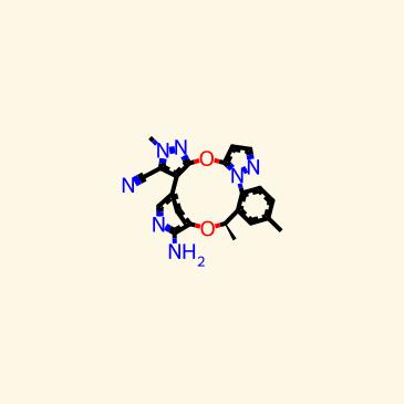 Cc1ccc2c(c1)[C@@H](C)Oc1cc(cnc1N)-c1c(nn(C)c1C#N)Oc1ccnn1-2